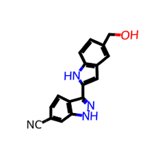 N#Cc1ccc2c(-c3cc4cc(CO)ccc4[nH]3)n[nH]c2c1